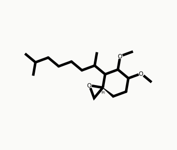 COC1CC[C@]2(CO2)C(C(C)CCCCC(C)C)C1OC